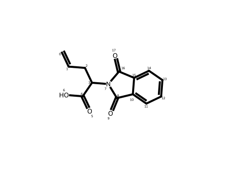 C=CCC(C(=O)O)N1C(=O)c2ccccc2C1=O